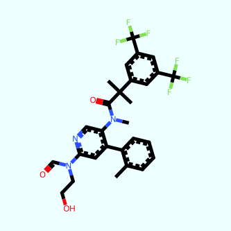 Cc1ccccc1-c1cc(N(C=O)CCO)ncc1N(C)C(=O)C(C)(C)c1cc(C(F)(F)F)cc(C(F)(F)F)c1